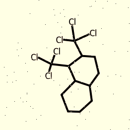 ClC(Cl)(Cl)[C]1C2CCCCC2CCC1C(Cl)(Cl)Cl